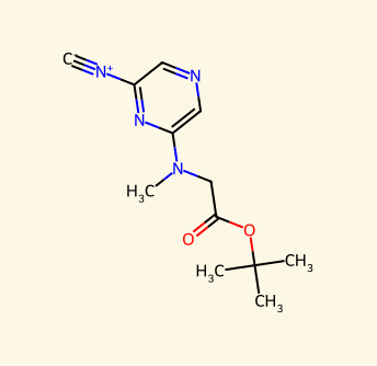 [C-]#[N+]c1cncc(N(C)CC(=O)OC(C)(C)C)n1